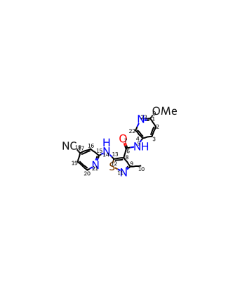 COc1ccc(NC(=O)c2c(C)nsc2Nc2cc(C#N)ccn2)cn1